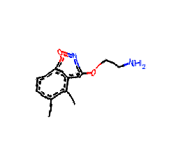 Cc1ccc2onc(OCCN)c2c1C